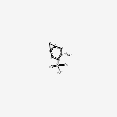 O=S(=O)([O-])c1ccc2c(c1)C2.[Na+]